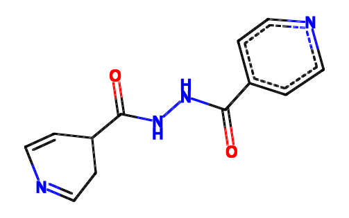 O=C(NNC(=O)C1C=CN=CC1)c1ccncc1